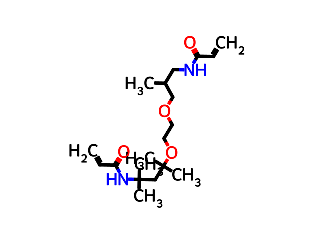 C=CC(=O)NCC(C)COCCOC(C)(C)CC(C)(C)NC(=O)C=C